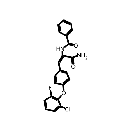 NC(=O)/C(=C\c1ccc(Oc2c(F)cccc2Cl)cc1)NC(=O)c1ccccc1